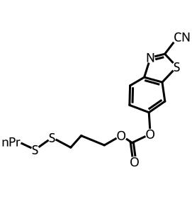 CCCSSCCCOC(=O)Oc1ccc2nc(C#N)sc2c1